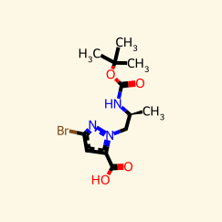 C[C@@H](Cn1nc(Br)cc1C(=O)O)NC(=O)OC(C)(C)C